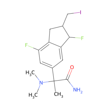 CN(C)C(C)(C(N)=O)c1cc(F)c2c(c1)C(F)C(CI)C2